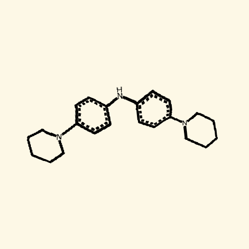 c1cc(N2CCCCC2)ccc1Nc1ccc(N2CCCCC2)cc1